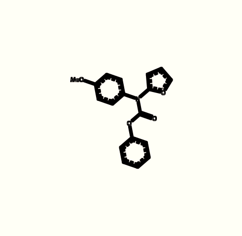 COc1ccc(N(C(=O)Oc2ccccc2)c2ccco2)cc1